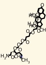 C/C=C/C[C@@H](C)[C@H](CC(N)=O)OC(=O)OCOC(=O)CCC(=O)OCC(=O)[C@@]1(O)[C@@H](C)CC2C3CCC4=CC(=O)C=C[C@]4(C)[C@@]3(F)[C@@H](O)C[C@@]21C